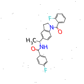 CC(NC(=O)c1ccc(F)cc1)c1ccc2c(c1)CCN2C(=O)c1ccccc1F